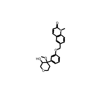 COC1(c2cccc(OCc3ccc4c(ccc(=O)n4C)c3)c2)CCOCC1O